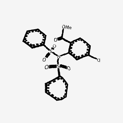 COC(=O)c1ccc(Cl)cc1N(S(=O)(=O)c1ccccc1)S(=O)(=O)c1ccccc1